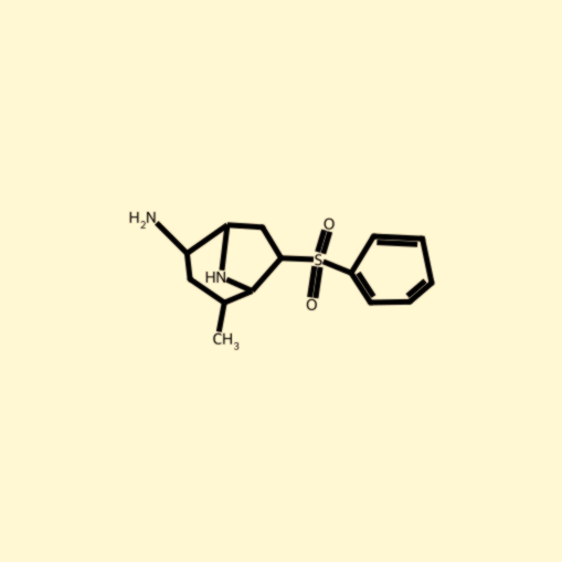 CC1CC(N)C2CC(S(=O)(=O)c3ccccc3)C1N2